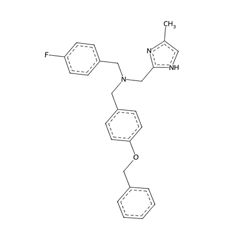 Cc1c[nH]c(CN(Cc2ccc(F)cc2)Cc2ccc(OCc3ccccc3)cc2)n1